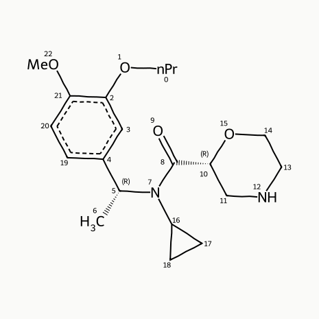 CCCOc1cc([C@@H](C)N(C(=O)[C@H]2CNCCO2)C2CC2)ccc1OC